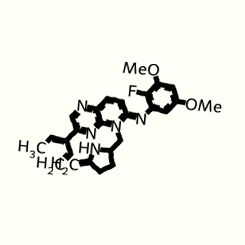 C=C/C(=C\C)c1cnc2cc/c(=N\c3cc(OC)cc(OC)c3F)n(CC3CCC(=C)N3)c2n1